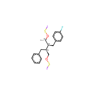 C[C@H](OSI)[C@@H](Cc1ccc(F)cc1)[C@@H](COSI)Cc1ccccc1